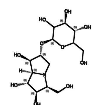 OCC1O[C@@H](O[C@@H]2CN3[C@H]([C@H]2O)[C@@H](O)[C@H](O)[C@@H]3CO)C(O)[C@@H](O)[C@@H]1O